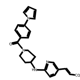 O=C(O)/C=C/c1ccc(NC2CCN(C(=O)c3ccc(-n4cccc4)cc3)CC2)nc1